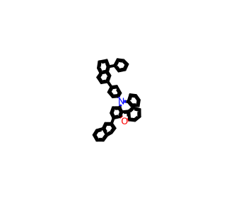 c1ccc(-c2cccc3ccc(-c4ccc(N(c5ccccc5)c5ccc(-c6ccc7ccccc7c6)c6oc7ccccc7c56)cc4)cc23)cc1